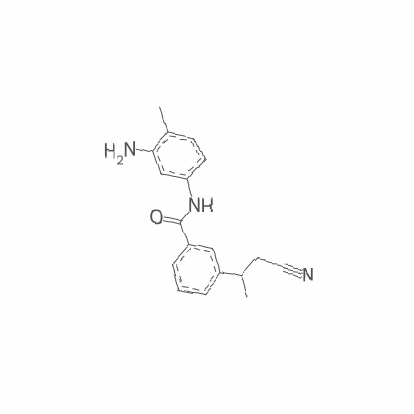 Cc1ccc(NC(=O)c2cccc(C(C)CC#N)c2)cc1N